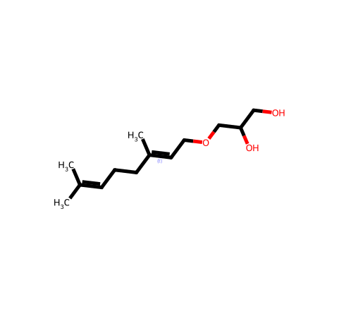 CC(C)=CCC/C(C)=C/COCC(O)CO